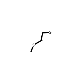 CS[CH]C[S]